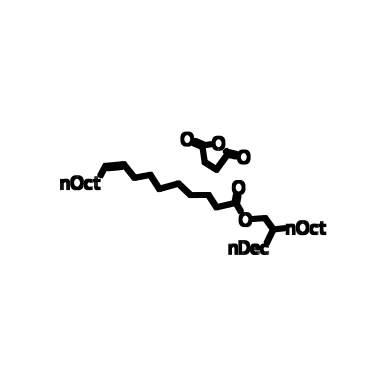 CCCCCCCC/C=C\CCCCCCCC(=O)OCC(CCCCCCCC)CCCCCCCCCC.O=C1CCC(=O)O1